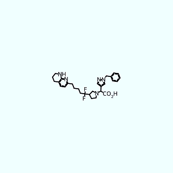 O=C(O)C(c1cnn(Cc2ccccc2)c1)N1CCC(C(F)(F)CCCCc2ccc3c(n2)NCCC3)C1